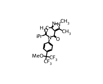 COC(c1ccc(N(C(=O)c2c(C)nn(C)c2C)C(=O)C(C)C)cc1)(C(F)(F)F)C(F)(F)F